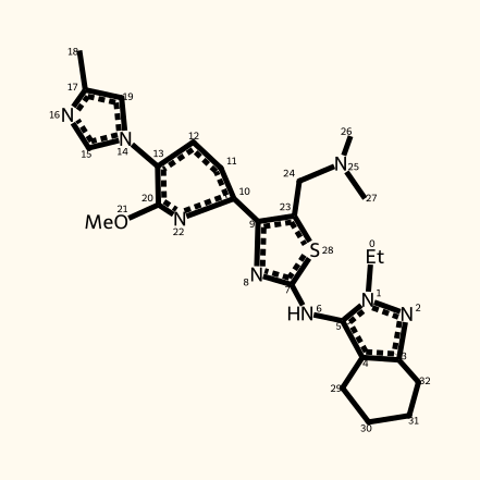 CCn1nc2c(c1Nc1nc(-c3ccc(-n4cnc(C)c4)c(OC)n3)c(CN(C)C)s1)CCCC2